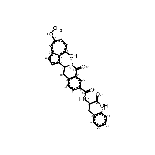 COc1ccc(O)c2c(C3Cc4ccc(C(=O)NC(Cc5ccccc5)C(=O)O)cc4C(=O)O3)ccc-2c1